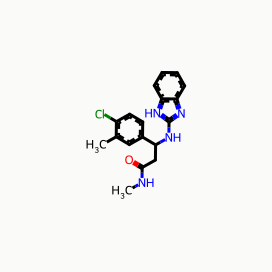 CNC(=O)CC(Nc1nc2ccccc2[nH]1)c1ccc(Cl)c(C)c1